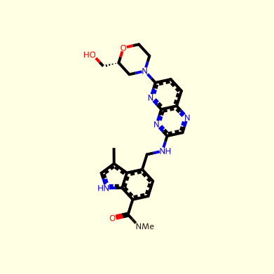 CNC(=O)c1ccc(CNc2cnc3ccc(N4CCO[C@@H](CO)C4)nc3n2)c2c(C)c[nH]c12